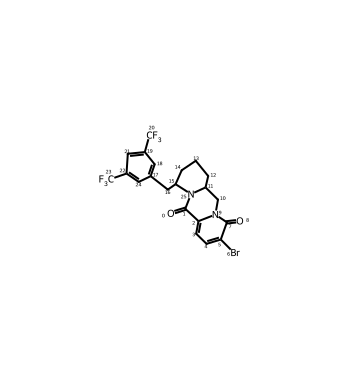 O=C1c2ccc(Br)c(=O)n2CC2CCCC(Cc3cc(C(F)(F)F)cc(C(F)(F)F)c3)N12